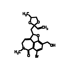 C=CC1(CC2Oc3c(CO)cc(Br)c4c3C2=CCN(C)C4=O)OCC(C)O1